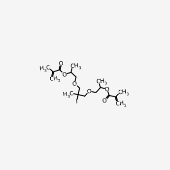 C=C(C)C(=O)OC(C)COCC(C)(I)COCC(C)OC(=O)C(=C)C